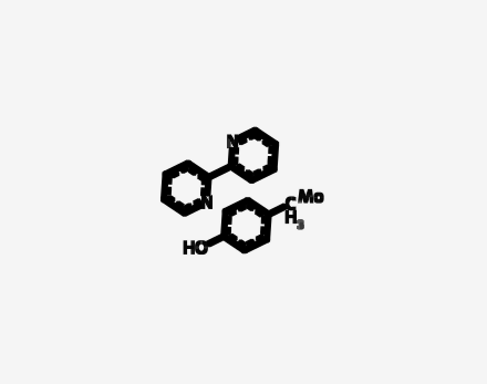 Cc1ccc(O)cc1.[Mo].c1ccc(-c2ccccn2)nc1